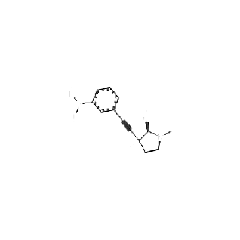 CN1CC[C@@](O)(C#Cc2cccc(B(F)F)c2)C1=O